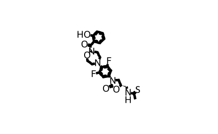 CC(=S)NC[C@H]1CN(c2cc(F)c(N3CCON(C(=O)c4ccccc4O)CC3)c(F)c2)C(=O)O1